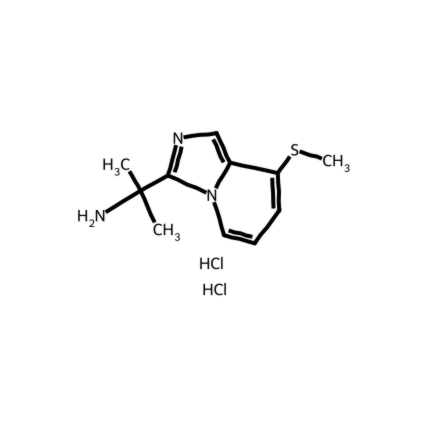 CSc1cccn2c(C(C)(C)N)ncc12.Cl.Cl